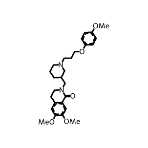 COc1ccc(OCCCN2CCCC(CN3CCc4cc(OC)c(OC)cc4C3=O)C2)cc1